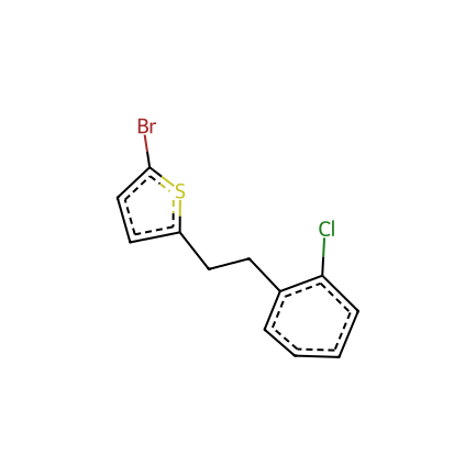 Clc1ccccc1CCc1ccc(Br)s1